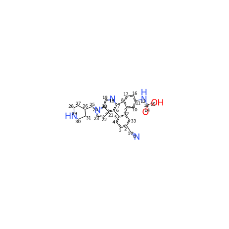 N#Cc1ccc(-c2c(-c3ccc(NC(=O)O)cc3)ncc3c2ccn3CC2CCNCC2)cc1